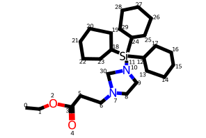 CCOC(=O)CCN1CCN([Si](C2CCCCC2)(C2CCCCC2)C2CCCCC2)C1